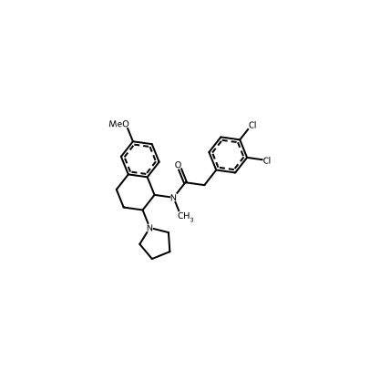 COc1ccc2c(c1)CCC(N1CCCC1)C2N(C)C(=O)Cc1ccc(Cl)c(Cl)c1